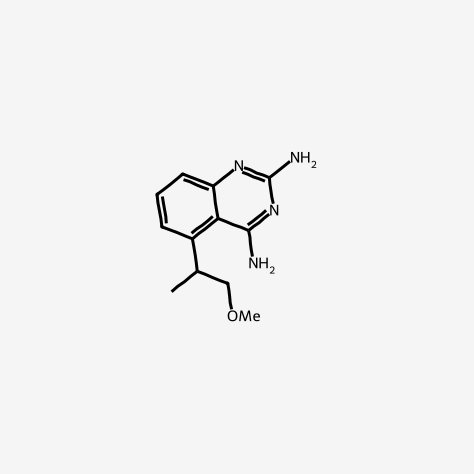 COCC(C)c1cccc2nc(N)nc(N)c12